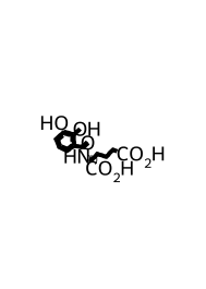 O=C(O)CCC[C@@H](NC(=O)c1cccc(O)c1O)C(=O)O